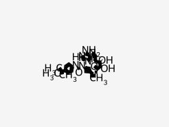 CN(C[C@H]1OC(n2cnc3c(N)ncnc32)[C@H](O)[C@@H]1O)C1CC(NC(=O)Nc2ccc(C(C)(C)C)cc2)C1